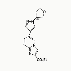 CCOC(=O)c1cn2cc(-c3cnn([C@H]4CCOC4)c3)ccc2n1